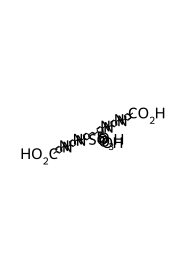 O=C(O)c1ccc(N=Nc2ccc(N=Nc3ccc(C=Cc4ccc(N=Nc5ccc(N=Nc6ccc(C(=O)O)cc6)cc5)cc4S(=O)(=O)O)c(SOOO)c3)cc2)cc1